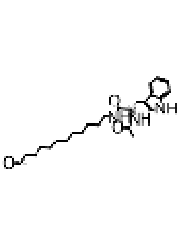 CC(=O)N[C@@H](Cc1c[nH]c2ccccc12)C(=O)NCCCCCCCCCCC[C]=O